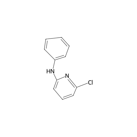 Clc1cccc(Nc2ccccc2)n1